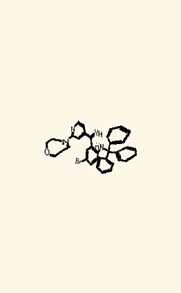 N=C(c1ccnc(N2CCOCC2)c1)c1cc(Br)ccc1NC(c1ccccc1)(c1ccccc1)c1ccccc1